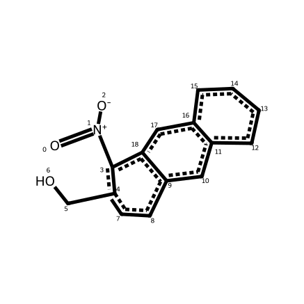 O=[N+]([O-])c1c(CO)ccc2cc3ccccc3cc12